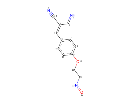 N#C/C(C=N)=C/c1ccc(OCCN=O)cc1